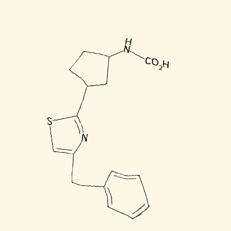 O=C(O)NC1CCC(c2nc(Cc3ccccc3)cs2)C1